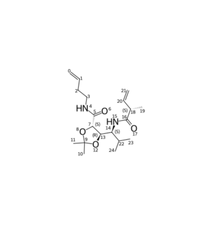 C=CCCNC(=O)[C@H]1OC(C)(C)O[C@@H]1[C@@H](NC(=O)[C@@H](C)C=C)C(C)C